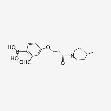 CC1CCN(C(=O)CCOc2ccc(B(O)O)c(C=O)c2)CC1